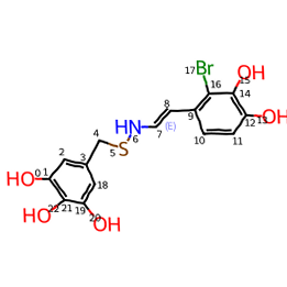 Oc1cc(CSN/C=C/c2ccc(O)c(O)c2Br)cc(O)c1O